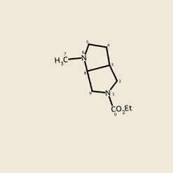 CCOC(=O)N1CC2CCN(C)C2C1